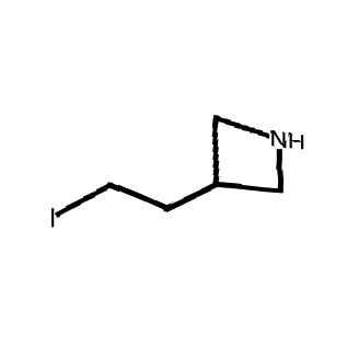 ICCC1CNC1